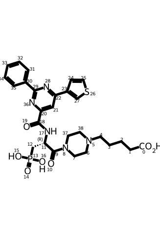 O=C(O)CCCCN1CCN(C(=O)[C@H](CP(=O)(O)O)NC(=O)c2cc(-c3ccsc3)nc(-c3ccccc3)n2)CC1